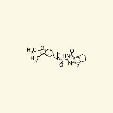 Cc1oc2ccc(CNC(=O)c3nc4sc5c(c4c(=O)[nH]3)CCC5)cc2c1C